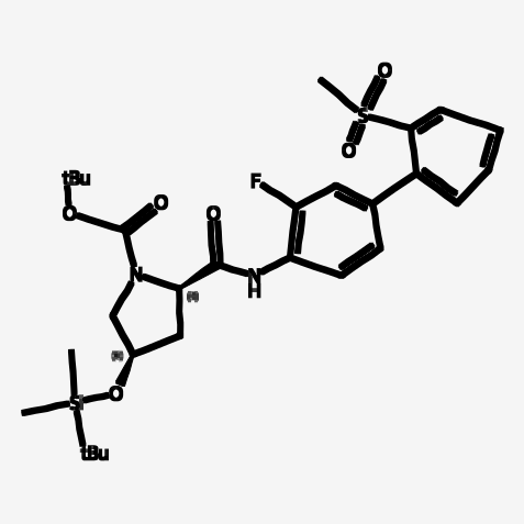 CC(C)(C)OC(=O)N1C[C@H](O[Si](C)(C)C(C)(C)C)C[C@@H]1C(=O)Nc1ccc(-c2ccccc2S(C)(=O)=O)cc1F